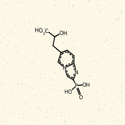 O=C(O)C(O)Cc1ccc2nc(P(=O)(O)O)cn2c1